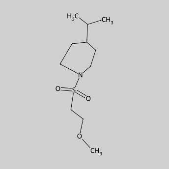 COCCS(=O)(=O)N1CCC(C(C)C)CC1